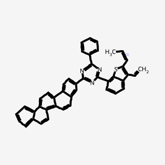 C=Cc1c(/C=C\C)sc2c(-c3nc(-c4ccccc4)nc(-c4ccc5c(ccc6c5ccc5c7ccccc7ccc56)c4)n3)cccc12